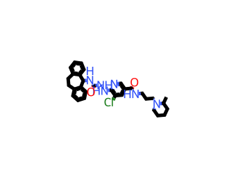 CC1CCCCN1CCCNC(=O)c1cnc(NNC(=O)NC2c3ccccc3CCc3ccccc32)c(Cl)c1